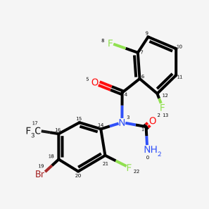 NC(=O)N(C(=O)c1c(F)cccc1F)c1cc(C(F)(F)F)c(Br)cc1F